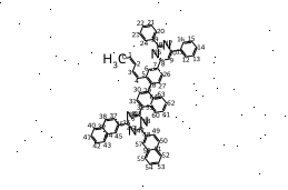 C/C=C\C=C/c1cc(-c2cc(-c3ccccc3)nc(-c3ccccc3)n2)ccc1-c1ccc(-c2nc(-c3ccc4ccccc4c3)nc(-c3ccc4ccccc4c3)n2)c2ccccc12